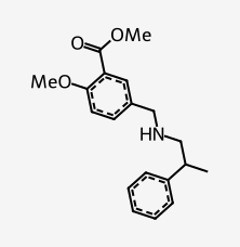 COC(=O)c1cc(CNCC(C)c2ccccc2)ccc1OC